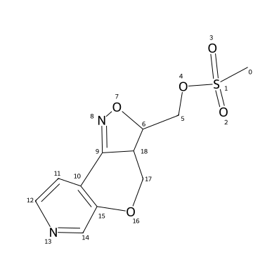 CS(=O)(=O)OCC1ON=C2c3ccncc3OCC21